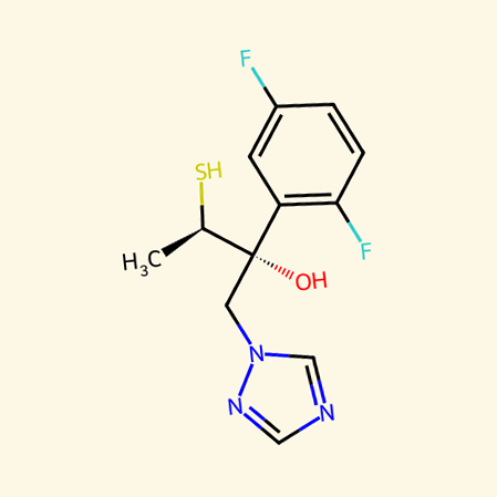 C[C@@H](S)[C@](O)(Cn1cncn1)c1cc(F)ccc1F